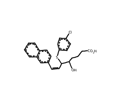 O=C(O)CCCC(O)C(/C=C\c1ccc2ccccc2c1)Sc1ccc(Cl)cc1